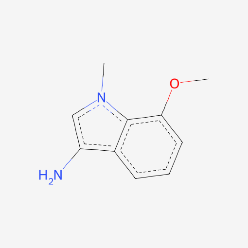 COc1cccc2c(N)cn(C)c12